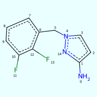 Nc1ccn(Cc2cccc(F)c2F)n1